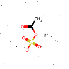 CC(=O)OS(=O)(=O)[O-].[K+]